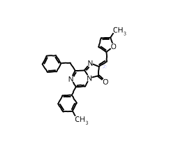 Cc1cccc(C2=CN3C(=O)/C(=C/c4ccc(C)o4)N=C3C(Cc3ccccc3)=N2)c1